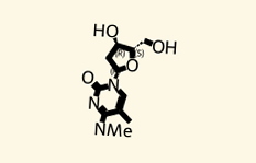 CNc1nc(=O)n([C@H]2C[C@@H](O)[C@H](CO)O2)cc1C